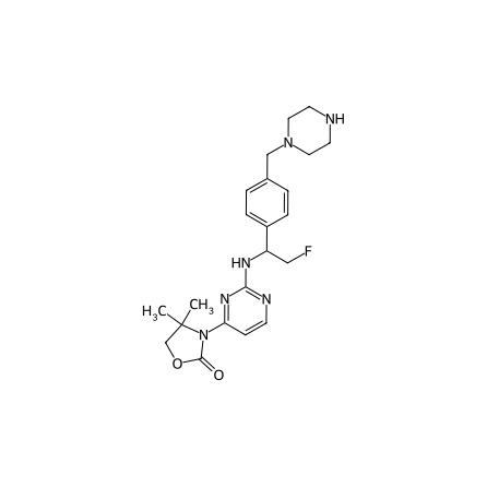 CC1(C)COC(=O)N1c1ccnc(NC(CF)c2ccc(CN3CCNCC3)cc2)n1